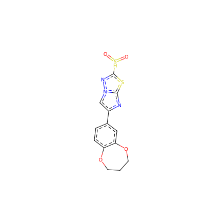 O=[SH](=O)c1nn2cc(-c3ccc4c(c3)OCCCO4)nc2s1